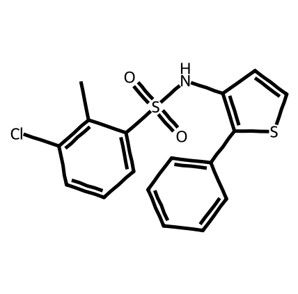 Cc1c(Cl)cccc1S(=O)(=O)Nc1ccsc1-c1ccccc1